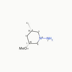 CO[C@@H]1C[C@H](C)CN(N)C1